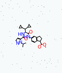 COC(=O)C1CCc2cc(NC(=O)[C@@H](NC(=O)c3ccnn3C(C)C)C(C3CC3)C3CC3)ccc21